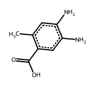 Cc1cc(N)c(N)cc1C(=O)O